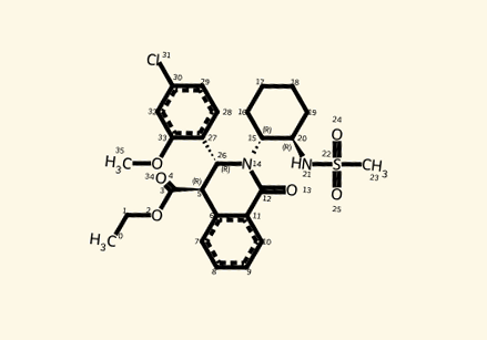 CCOC(=O)[C@@H]1c2ccccc2C(=O)N([C@@H]2CCCC[C@H]2NS(C)(=O)=O)[C@H]1c1ccc(Cl)cc1OC